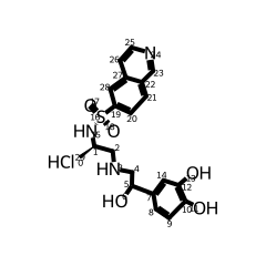 C[C@H](CNCC(O)c1ccc(O)c(O)c1)NS(=O)(=O)c1ccc2cnccc2c1.Cl